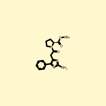 CC(C)(C)OC(=O)[C@@H]1CCCN1C(=O)Cc1sc(N)nc1-c1ccccc1